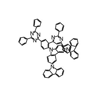 c1ccc(-c2cc(-c3cc(-c4nc(-c5ccccc5)nc(-c5ccccc5)n4)ccc3-n3c4ccc(-n5c6ccccc6c6ccccc65)cc4c4cc(-n5c6ccccc6c6ccccc65)ccc43)nc(-c3ccccc3)n2)cc1